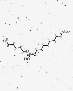 CCCCCCCCCCCCCCCCCCOP(O)OCCCCCC(C)C